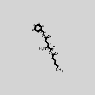 CCCCCC(=O)OC(=O)[C@@H](N)CCC(=O)OCc1ccccc1